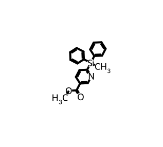 COC(=O)c1ccc([Si](C)(c2ccccc2)c2ccccc2)nc1